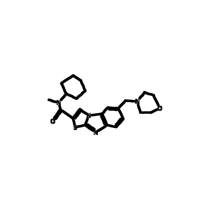 CN(C(=O)c1cn2c(nc3ccc(CN4CCOCC4)cc32)s1)C1CCCCC1